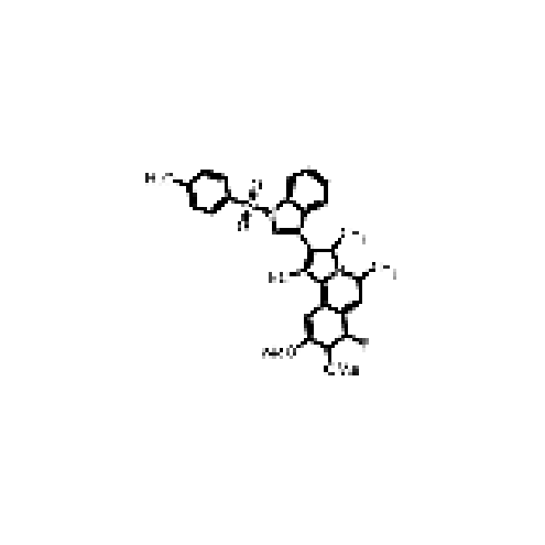 COC1=CC2=C3C(C#N)=C(c4cn(S(=O)(=O)c5ccc(C)cc5)c5ccccc45)C(C)N3C(C)C=C2C(F)C1OC